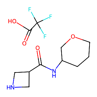 O=C(NC1CCCOC1)C1CNC1.O=C(O)C(F)(F)F